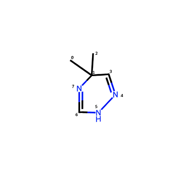 CC1(C)C=NNC=N1